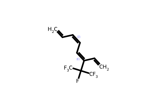 C=C/C=C\C=C(/C=C)C(F)(C(F)(F)F)C(F)(F)F